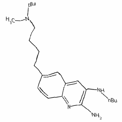 CCCCNc1cc2cc(CCCCN(C)C(C)(C)C)ccc2nc1N